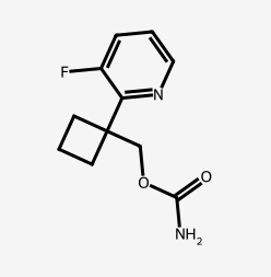 NC(=O)OCC1(c2ncccc2F)CCC1